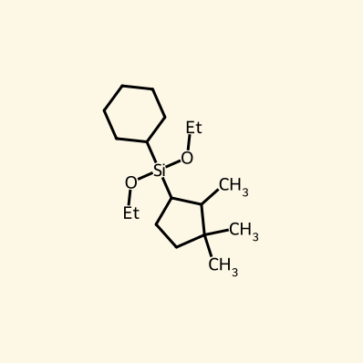 CCO[Si](OCC)(C1CCCCC1)C1CCC(C)(C)C1C